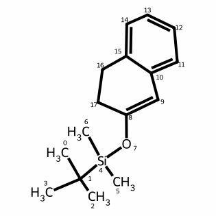 CC(C)(C)[Si](C)(C)OC1=Cc2ccccc2CC1